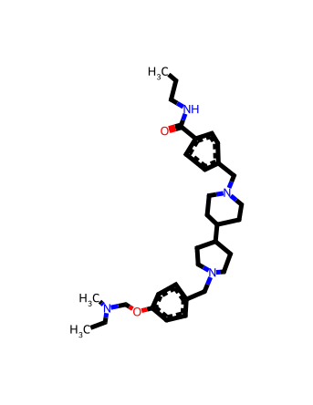 CCCNC(=O)c1ccc(CN2CCC(C3CCN(Cc4ccc(OCN(C)CC)cc4)CC3)CC2)cc1